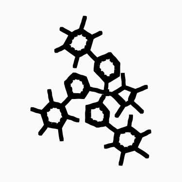 CC1=C(C)C(C)C([Si](c2cccc(-c3c(C)c(C)c(C)c(C)c3C)c2)(c2cccc(-c3c(C)c(C)c(C)c(C)c3C)c2)c2cccc(-c3c(C)c(C)c(C)c(C)c3C)c2)=C1C